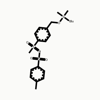 Cc1ccc(S(=O)(=O)N=S(C)(=O)c2ccc(CO[Si](C)(C)C(C)(C)C)cc2)cc1